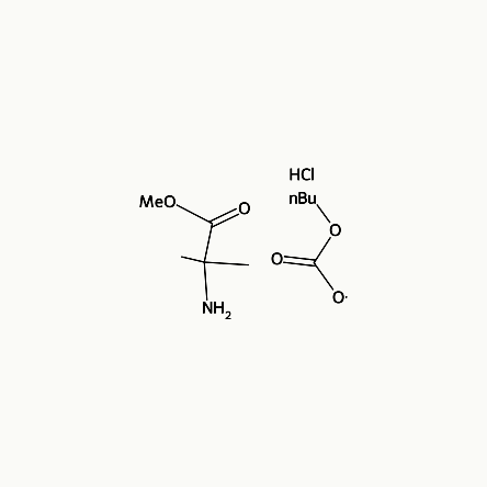 CCCCOC([O])=O.COC(=O)C(C)(C)N.Cl